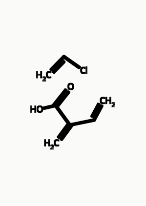 C=CC(=C)C(=O)O.C=CCl